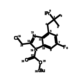 CC(C)C(C)(C)Cc1cc(F)cc2c1nc(CCl)n2C(=O)OC(C)(C)C